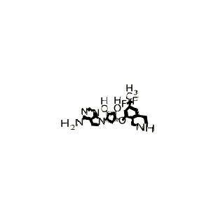 CC(F)(F)c1cc2c(c(O[C@H]3C[C@@H](n4ccc5c(N)ncnc54)[C@H](O)[C@@H]3O)c1)CNCC2